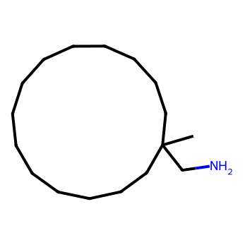 CC1(CN)CCCCCCCCCCCCCC1